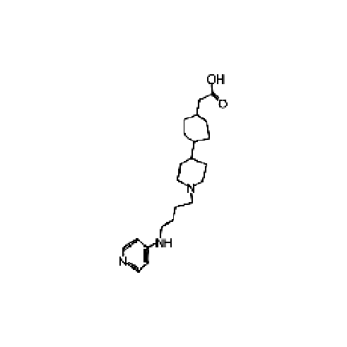 O=C(O)CC1CCC(C2CCN(CCCCNc3ccncc3)CC2)CC1